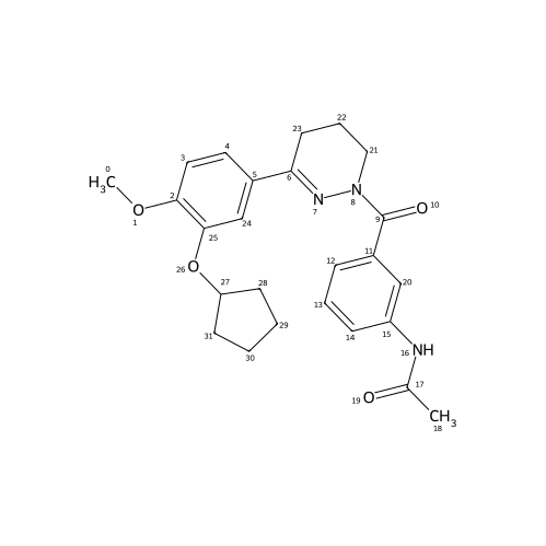 COc1ccc(C2=NN(C(=O)c3cccc(NC(C)=O)c3)CCC2)cc1OC1CCCC1